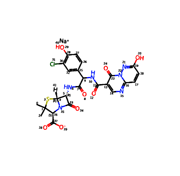 CC1(C)S[C@@H]2[C@H](NC(=O)C(NC(=O)c3cnc4ccc(O)nn4c3=O)c3ccc(O)c(Cl)c3)C(=O)N2[C@H]1C(=O)[O-].[Na+]